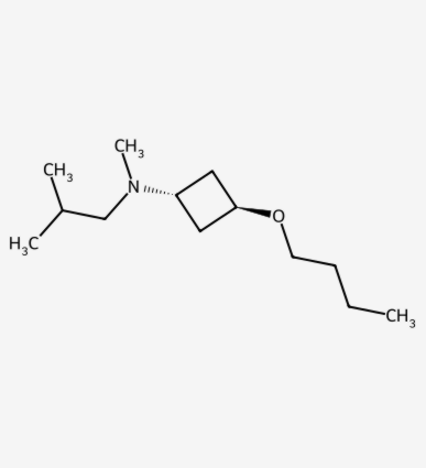 CCCCO[C@H]1C[C@H](N(C)CC(C)C)C1